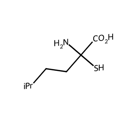 CC(C)CCC(N)(S)C(=O)O